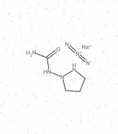 NC(=O)NN1CCCN1.[N-]=[N+]=[N-].[Na+]